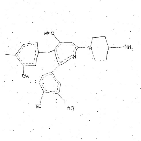 COc1cc(N2CCC(N)CC2)nc(-c2ccc(C#N)c(F)c2)c1-c1ccc(C)c(O)c1.Cl